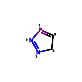 C1=PN=NC1